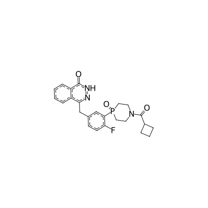 O=C(C1CCC1)N1CCP(=O)(c2cc(Cc3n[nH]c(=O)c4ccccc34)ccc2F)CC1